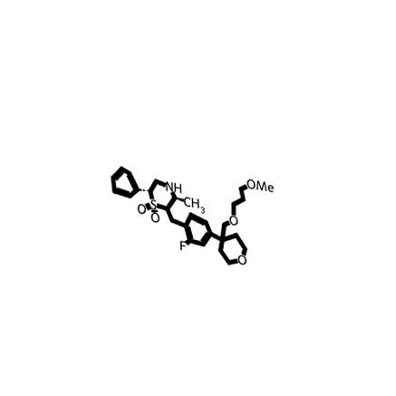 COCCCOCC1(c2ccc(CC3[C@H](C)NC[C@@H](c4ccccc4)S3(=O)=O)c(F)c2)CCOCC1